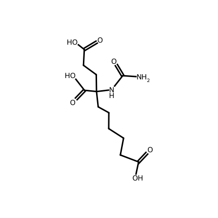 NC(=O)NC(CCCCCC(=O)O)(CCC(=O)O)C(=O)O